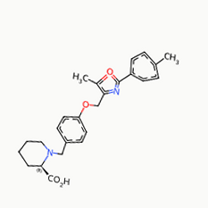 Cc1ccc(-c2nc(COc3ccc(CN4CCCC[C@@H]4C(=O)O)cc3)c(C)o2)cc1